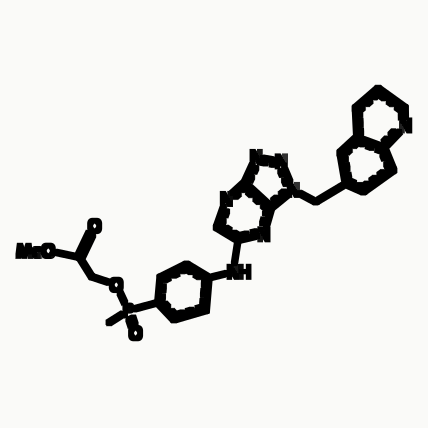 COC(=O)COP(C)(=O)c1ccc(Nc2cnc3nnn(Cc4ccc5ncccc5c4)c3n2)cc1